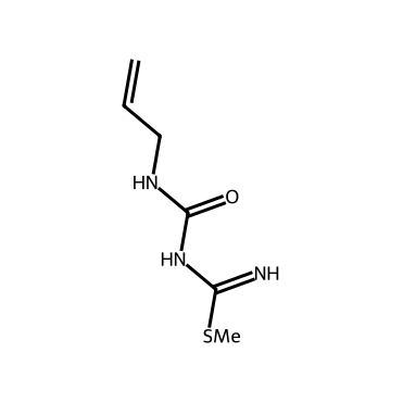 C=CCNC(=O)NC(=N)SC